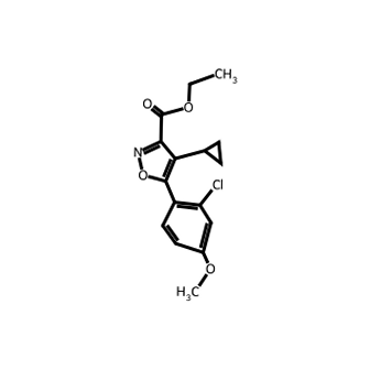 CCOC(=O)c1noc(-c2ccc(OC)cc2Cl)c1C1CC1